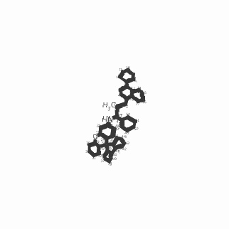 C/C(=C\c1ccc(-c2ccccc2)c2ccccc12)C(Nc1ccc2c(c1)Oc1ccccc1C21c2ccccc2-c2ccccc21)c1ccccc1